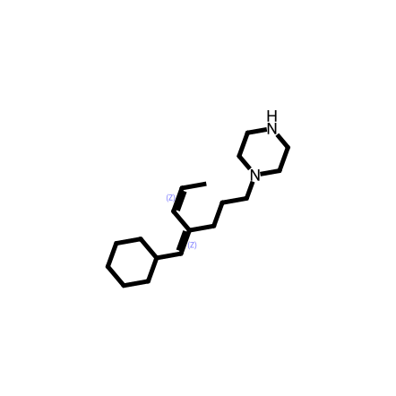 C/C=C\C(=C/C1CCCCC1)CCCN1CCNCC1